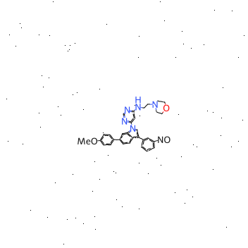 COc1ccc(-c2ccc3c(-c4cccc(N=O)c4)cn(-c4cc(NCCN5CCOCC5)ncn4)c3c2)cc1